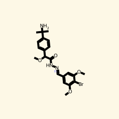 COc1cc(/C=N/NC(=O)C(OC)c2ccc(C(C)(C)N)cc2)cc(OC)c1Br